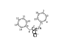 [Cl-].[Cl-].c1ccc([CH2][Ge+2][CH2]c2ccccc2)cc1